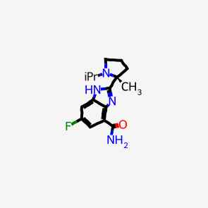 CC(C)N1CCC[C@]1(C)c1nc2c(C(N)=O)cc(F)cc2[nH]1